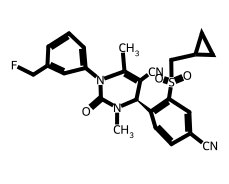 CC1=C(C#N)[C@@H](c2ccc(C#N)cc2S(=O)(=O)CC2CC2)N(C)C(=O)N1c1cccc(CF)c1